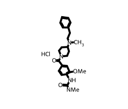 CNC(=O)Nc1ccc(C(=O)N2CCC(N(C)CCc3ccccc3)CC2)cc1OC.Cl